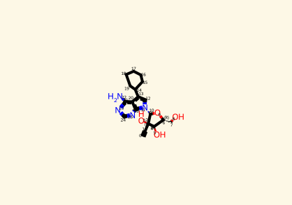 C#C[C@@]1(O)[C@H](O)[C@@H](CO)O[C@H]1n1cc(C2CCCCC2)c2c(N)ncnc21